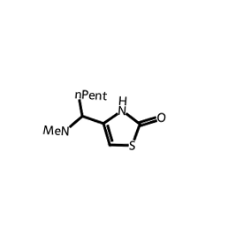 CCCCCC(NC)c1csc(=O)[nH]1